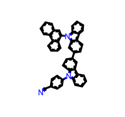 N#Cc1ccc(-n2c3ccccc3c3cc(-c4ccc5c6ccccc6n(-c6cc7ccccc7c7ccccc67)c5c4)ccc32)cc1